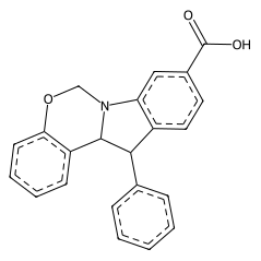 O=C(O)c1ccc2c(c1)N1COc3ccccc3C1C2c1ccccc1